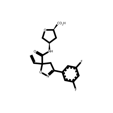 C=CC1(C(=O)N[C@H]2CO[C@@H](C(=O)O)C2)CC(c2cc(F)cc(F)c2)=NO1